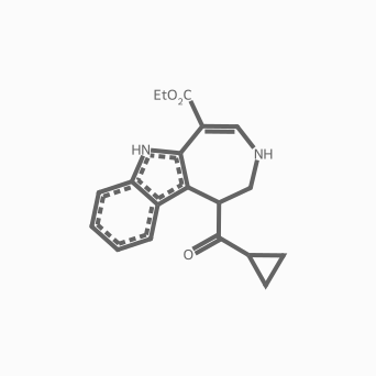 CCOC(=O)C1=CNCC(C(=O)C2CC2)c2c1[nH]c1ccccc21